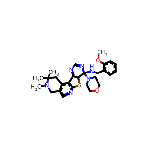 COc1ccccc1CNC1(N2CCOCC2)N=CN=C2c3c(ncc4c3CC(C)(C)N(C)C4)SC21